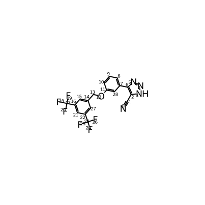 N#Cc1[nH]nnc1-c1cccc(OCc2cc(C(F)(F)F)cc(C(F)(F)F)c2)c1